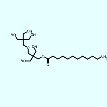 CCCCCCCCCCCC(=O)OCC(CO)(CO)COCC(CO)(CO)CO